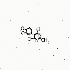 Cc1nc(Cl)c(-c2ccc3c(c2)OCO3)c(Cl)n1